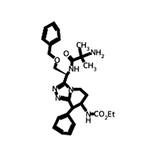 CCOC(=O)NC1CCn2c(nnc2[C@@H](COCc2ccccc2)NC(=O)C(C)(C)N)C1c1ccccc1